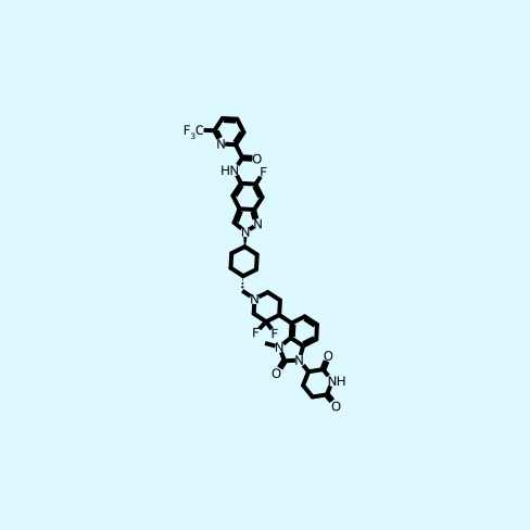 Cn1c(=O)n(C2CCC(=O)NC2=O)c2cccc(C3CCN(C[C@H]4CC[C@H](n5cc6cc(NC(=O)c7cccc(C(F)(F)F)n7)c(F)cc6n5)CC4)CC3(F)F)c21